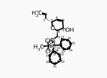 C=CC[C@@H]1C=C[C@H](O)[C@@H](CO[Si](c2ccccc2)(c2ccccc2)C(C)(C)C)O1